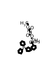 CCOC(=O)N=NC(=O)OCC.O=C(O)c1ccccc1.c1ccc(P(c2ccccc2)c2ccccc2)cc1